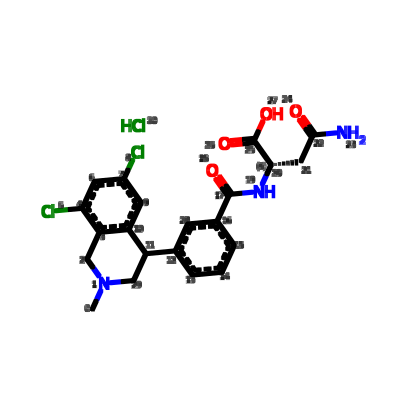 CN1Cc2c(Cl)cc(Cl)cc2C(c2cccc(C(=O)N[C@@H](CC(N)=O)C(=O)O)c2)C1.Cl